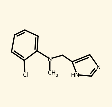 CN(Cc1cnc[nH]1)c1ccccc1Cl